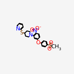 CS(=O)(=O)c1ccc(Oc2ccc([N+](=O)[O-])c(N3CCC(Sc4ccccn4)CC3)c2)cc1